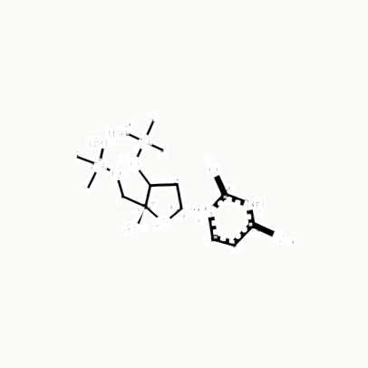 CC(C)[C@]1(CO[Si](C)(C)C(C)(C)C)O[C@@H](n2ccc(=O)[nH]c2=O)CC1O[Si](C)(C)C(C)(C)C